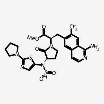 COC(=O)[C@@H](Cc1cc2ccnc(N)c2cc1C(F)(F)F)N1CC[C@H](N(c2cnc(N3CCCC3)s2)[SH](=O)=O)C1=O